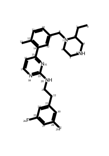 CCC1CNCCN1Cc1ccc(C)c(-c2ccnc(NCCc3cc(F)cc(F)c3)n2)c1